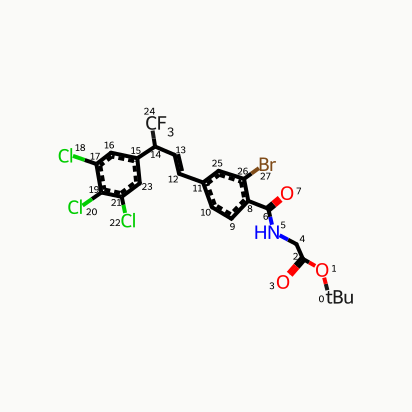 CC(C)(C)OC(=O)CNC(=O)c1ccc(/C=C/C(c2cc(Cl)c(Cl)c(Cl)c2)C(F)(F)F)cc1Br